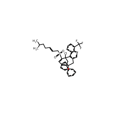 CC(C)CCC=CCS(=O)(=O)C1=CC=C(c2ccccc2)CC1(Cl)c1c(Cc2ccccc2)cnc2c(C(F)(F)F)cccc12